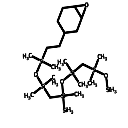 C[Si](C)(C[Si](C)(C)O[Si](C)([SiH3])C[Si](C)(C)O[Si](C)(C)CCC1CCC2OC2C1)O[SiH3]